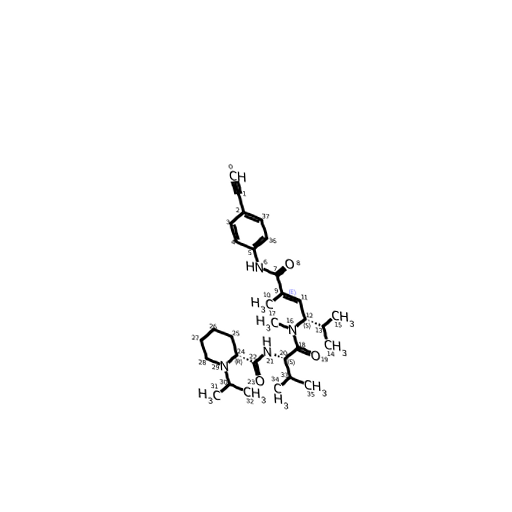 C#Cc1ccc(NC(=O)/C(C)=C/[C@H](C(C)C)N(C)C(=O)[C@@H](NC(=O)[C@H]2CCCCN2C(C)C)C(C)C)cc1